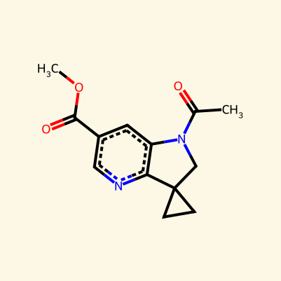 COC(=O)c1cnc2c(c1)N(C(C)=O)CC21CC1